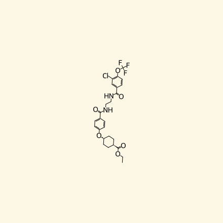 CCOC(=O)[C@H]1CC[C@@H](Oc2ccc(C(=O)NCCNC(=O)c3ccc(OC(F)(F)F)c(Cl)c3)cc2)CC1